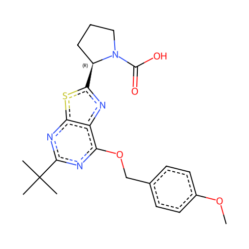 COc1ccc(COc2nc(C(C)(C)C)nc3sc([C@H]4CCCN4C(=O)O)nc23)cc1